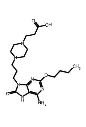 CCCCOc1nc(N)c2[nH]c(=O)n(CCCN3CCN(CCC(=O)O)CC3)c2n1